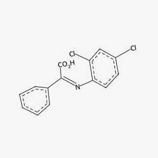 O=C(O)C(=Nc1ccc(Cl)cc1Cl)c1ccccc1